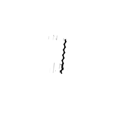 CCCCCCCCCCCCCCCCCCNC(=O)C(C)O